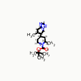 Cc1cc2ncnn2cc1C1CCN(C(=O)OC(C)(C)C)C(C)C1